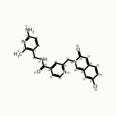 Cc1nc(N)ccc1CNC(=O)c1ccnc(Cn2cc3cc(Cl)ccc3cc2=O)c1